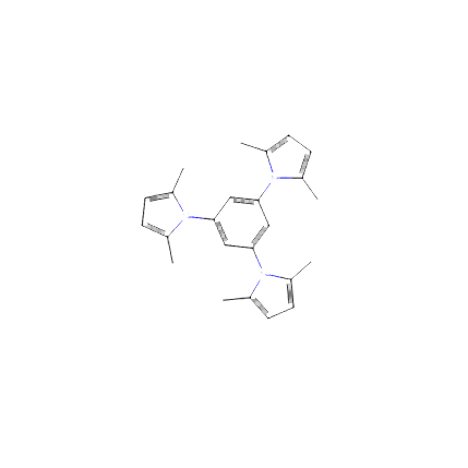 Cc1ccc(C)n1-c1cc(-n2c(C)ccc2C)cc(-n2c(C)ccc2C)c1